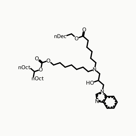 CCCCCCCCCCCOC(=O)CCCCCN(CCCCCCCOC(=O)OC(CCCCCCCC)CCCCCCCC)CC(O)Cn1cnc2ccccc21